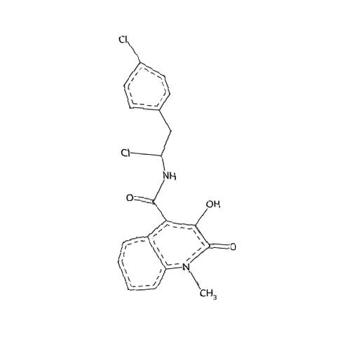 Cn1c(=O)c(O)c(C(=O)NC(Cl)Cc2ccc(Cl)cc2)c2ccccc21